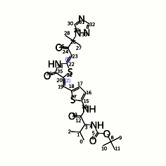 CC(C)C(NC(=O)OC(C)(C)C)C(=O)Nc1ccc(/C=c2\s/c(=C/C(=O)C(C)(C)n3cncn3)[nH]c2=O)s1